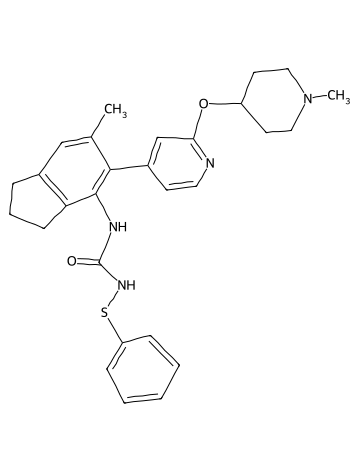 Cc1cc2c(c(NC(=O)NSc3ccccc3)c1-c1ccnc(OC3CCN(C)CC3)c1)CCC2